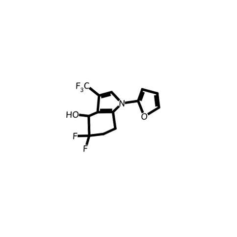 OC1c2c(C(F)(F)F)cn(-c3ccco3)c2CCC1(F)F